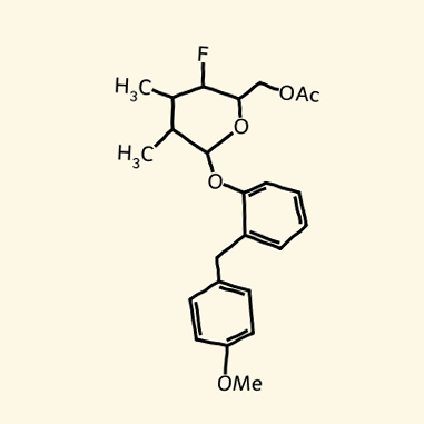 COc1ccc(Cc2ccccc2OC2OC(COC(C)=O)C(F)C(C)C2C)cc1